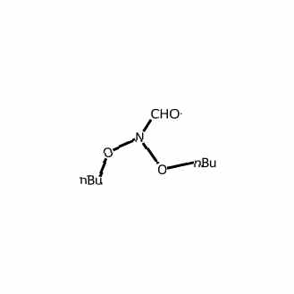 CCCCON([C]=O)OCCCC